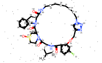 CC(C)C[C@H]1NC(=O)c2ccc(F)cc2OCc2cn(nn2)CCCCCCCCNC(=O)[C@H](Cc2ccccc2)N(C)C(=O)[C@H]2C[S+]([O-])CCN2C1=O